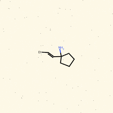 CCC=CC1(N)CCCC1